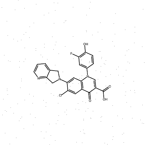 O=C(O)c1cn(-c2ccc(O)c(F)c2)c2cc(N3Cc4cccnc4C3)c(Cl)cc2c1=O